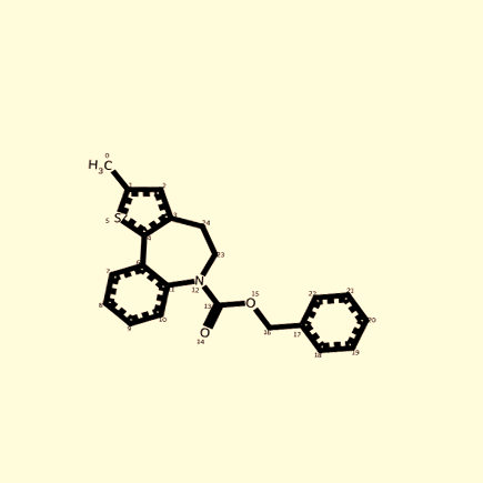 Cc1cc2c(s1)-c1ccccc1N(C(=O)OCc1ccccc1)CC2